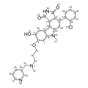 CN(CCCOc1cc2c(cc1O)c1c3c(c(-c4ccccc4Cl)cc1n2C)C(=O)NC3=O)Cc1cccnc1